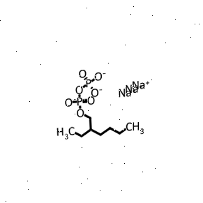 CCCCC(CC)COP(=O)([O-])OP(=O)([O-])[O-].[Na+].[Na+].[Na+]